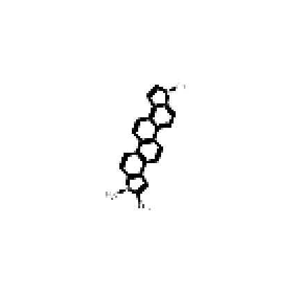 Cc1cc2c3ccc4c(ccc5c4ccc4c5ccn4C)c3ccc2n1C